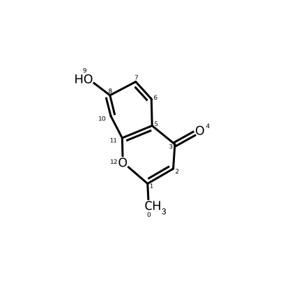 Cc1cc(=O)c2ccc(O)cc2o1